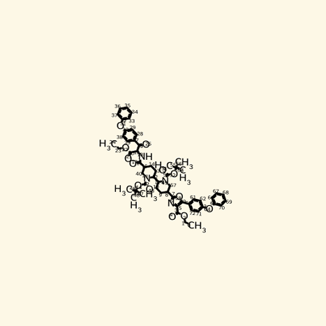 CCOC(=O)c1nc(C2CCC(C3CCC(C(=O)NC(C(=O)OCC)C(=O)c4ccc(Oc5ccccc5)cc4)CN3C(=O)OC(C)(C)C)N(C(=O)OC(C)(C)C)C2)oc1-c1ccc(Oc2ccccc2)cc1